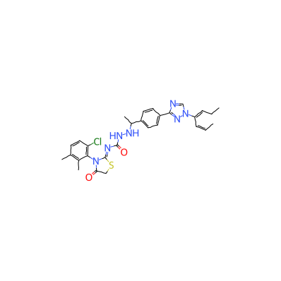 C/C=C\C(=C/CC)n1cnc(-c2ccc(C(C)NNC(=O)/N=C3\SCC(=O)N3c3c(Cl)ccc(C)c3C)cc2)n1